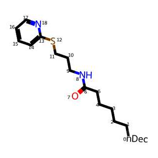 CCCCCCCCCCCCCCCC(=O)NCCCSc1ccccn1